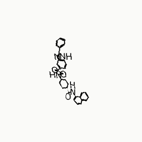 O=C(Nc1cccc2ccccc12)[C@H]1CC[C@H](NS(=O)(=O)c2ccc3[nH]c(-c4ccccc4)nc3c2)CC1